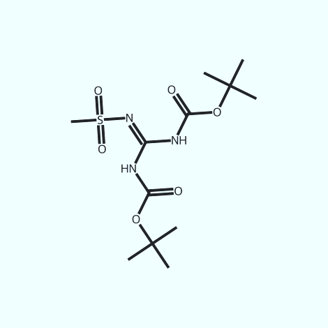 CC(C)(C)OC(=O)NC(=NS(C)(=O)=O)NC(=O)OC(C)(C)C